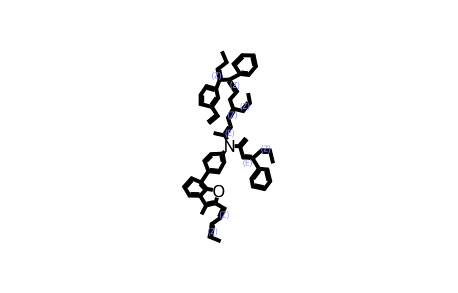 C=Cc1cccc(C(=C/CC)/C(=C\CC(/C=C\C)=C/C=C(\C)N(C(=C)/C=C(\C=C/C)c2ccccc2)c2ccc(-c3cccc4c(C)c(/C=C\C=C/C)oc34)cc2)c2ccccc2)c1